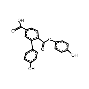 O=C(O)c1ccc(C(=O)Oc2ccc(O)cc2)c(-c2ccc(O)cc2)c1